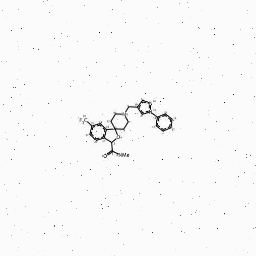 CNC(=O)C1OC2(CCN(Cc3cnn(-c4ccccc4)c3)CC2)c2cc(C(F)(F)F)ccc21